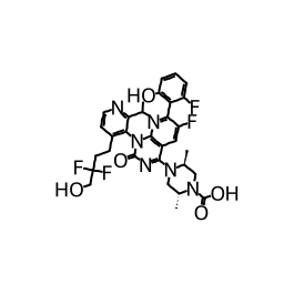 CC(C)c1nccc(CCC(F)(F)CO)c1-n1c(=O)nc(N2C[C@@H](C)N(C(=O)O)C[C@@H]2C)c2cc(F)c(-c3c(O)cccc3F)nc21